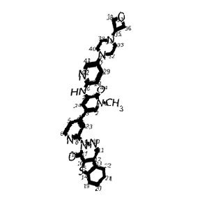 Cn1cc(-c2ccnc(-n3ncc4c5c(sc4c3=O)CCCC5)c2)cc(Nc2ccc(N3CCN(C4COC4)CC3)cn2)c1=O